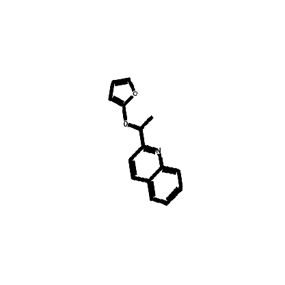 CC(Oc1ccco1)c1ccc2ccccc2n1